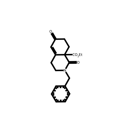 CCOC(=O)C12CCC(=O)C=C1CCN(Cc1ccccc1)C2=O